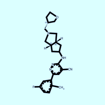 Cc1ccc(F)cc1-c1cc(C#N)c(NC2C[C@@H]3CN(C[C@@H]4CCOC4)C[C@@H]3C2)nn1